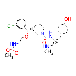 CNC[C@H](CC1CCC(O)CC1)NC(=O)N1CCC[C@@H](C(OCCNC(=O)OC)c2cccc(Cl)c2)C1